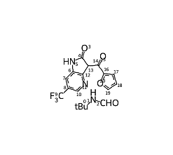 CC(C)(C)NC=O.O=C1Nc2cc(C(F)(F)F)cnc2C1C(=O)c1ccco1